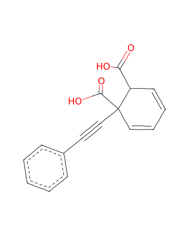 O=C(O)C1C=CC=CC1(C#Cc1ccccc1)C(=O)O